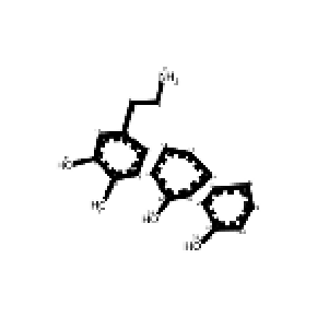 NCCc1ccc(O)c(O)c1.Oc1ccccc1.Oc1ccccc1